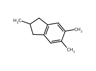 Cc1cc2c(cc1C)CC(C)C2